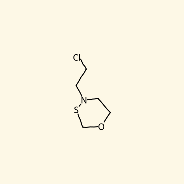 ClCCN1CCOCS1